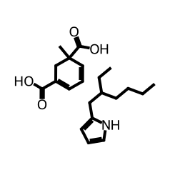 CC1(C(=O)O)C=CC=C(C(=O)O)C1.CCCCC(CC)Cc1ccc[nH]1